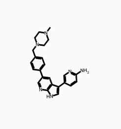 CN1CCN(Cc2ccc(-c3cnc4[nH]cc(-c5ccc(N)nc5)c4c3)cc2)CC1